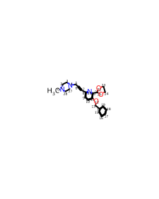 CN1CCN(CC#Cc2ccc(OCc3ccccc3)c(C3OCCO3)n2)CC1